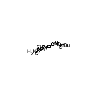 Cc1cc(C(N)=O)nn1-c1ccc2c(ccn2Cc2ccc(-c3ccc(CN4CCN(C(=O)OC(C)(C)C)CC4)cc3)cc2)c1